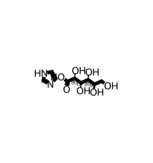 O=C(O)[C@H](O)[C@@H](O)[C@H](O)[C@H](O)CO.c1c[nH]cn1